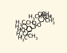 CN1C(C)(C)CC(OC(=O)Cc2cc(C(C)(C)C)c(O)c(C(C)(C)C)c2)CC1(C)C